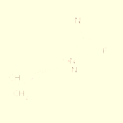 C=C/C=C(C#Cc1cnn(-c2cc(F)cc(C#N)c2)c1)\C=C/C